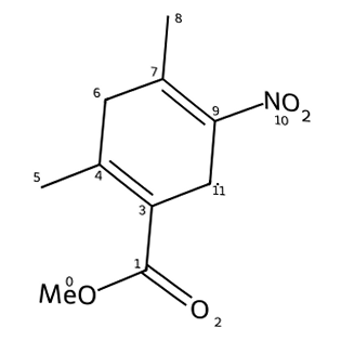 COC(=O)C1=C(C)CC(C)=C([N+](=O)[O-])[CH]1